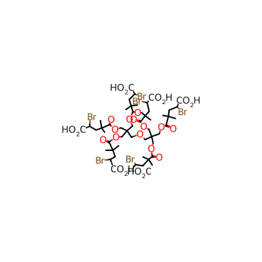 CC(C)(CC(Br)C(=O)O)C(=O)OCC(COCC(COC(=O)C(C)(C)CC(Br)C(=O)O)(COC(=O)C(C)(C)CC(Br)C(=O)O)COC(=O)C(C)(C)CC(Br)C(=O)O)(COC(=O)C(C)(C)CC(Br)C(=O)O)COC(=O)C(C)(C)CC(Br)C(=O)O